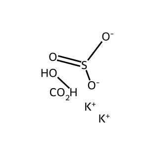 O=C(O)O.O=S([O-])[O-].[K+].[K+]